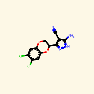 N#Cc1c(C2COc3cc(Cl)c(Cl)cc3O2)n[nH]c1N